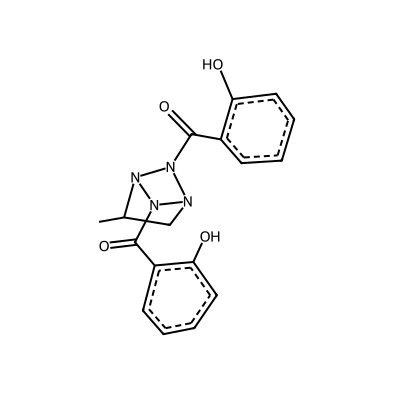 CC1CN2N(C(=O)c3ccccc3O)N1N2C(=O)c1ccccc1O